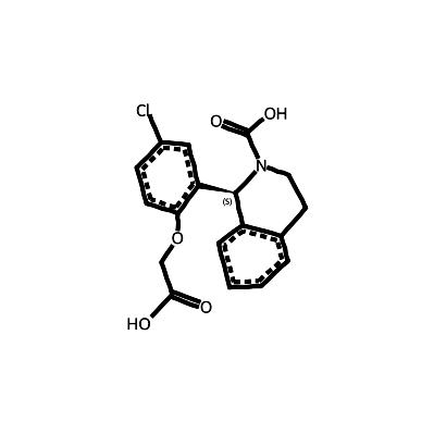 O=C(O)COc1ccc(Cl)cc1[C@@H]1c2ccccc2CCN1C(=O)O